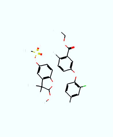 CCOC(=O)COC(=O)c1cc(Oc2ccc(C(F)(F)F)cc2Cl)ccc1[N+](=O)[O-].CCOC1Oc2ccc(OS(C)(=O)=O)cc2C1(C)C